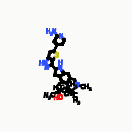 C[C@@H](N(C)Cc1cc(CC(C)(C)O)c2cc(-c3n[nH]c4cc(-c5ccnc(N)c5)sc34)[nH]c2c1)C(C)(C)C